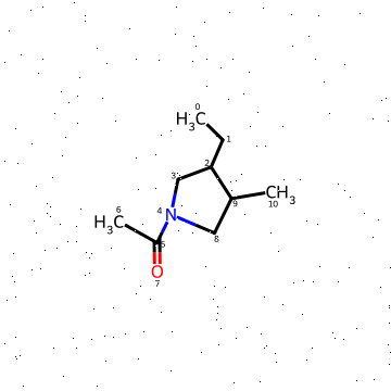 CCC1CN(C(C)=O)CC1C